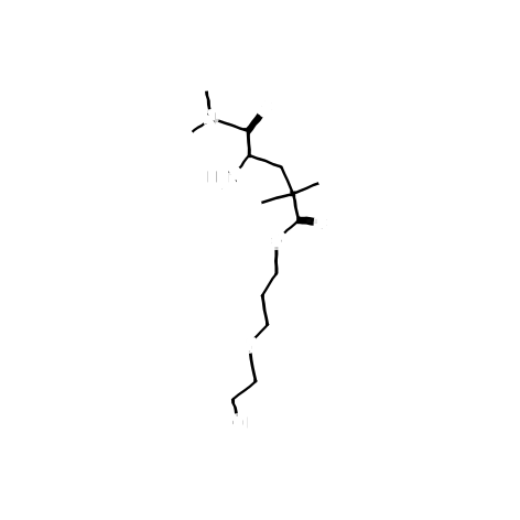 CN(C)C(=O)C(N)CC(C)(C)C(=O)OCCCSCCO